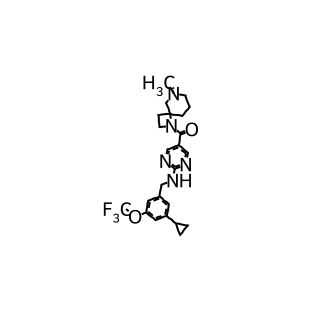 CN1CCCC2(CCN2C(=O)c2cnc(NCc3cc(OC(F)(F)F)cc(C4CC4)c3)nc2)C1